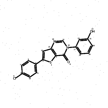 O=c1c2sc(-c3ccc(Cl)cc3)cc2ncn1-c1cccc(O)c1